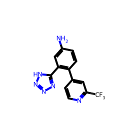 Nc1ccc(-c2ccnc(C(F)(F)F)c2)c(-c2nnn[nH]2)c1